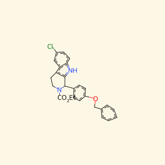 CCOC(=O)N1CCc2c([nH]c3ccc(Cl)cc23)C1c1ccc(OCc2ccccc2)cc1